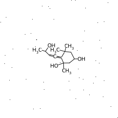 CC(O)C=C=C1C(C)(C)CC(O)CC1(C)O